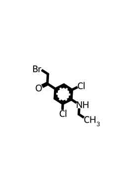 CCNc1c(Cl)cc(C(=O)CBr)cc1Cl